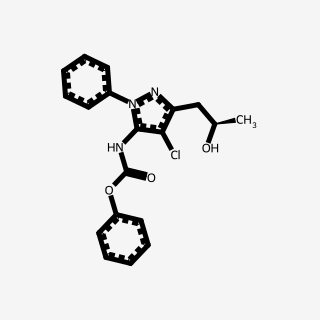 C[C@@H](O)Cc1nn(-c2ccccc2)c(NC(=O)Oc2ccccc2)c1Cl